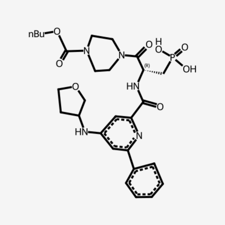 CCCCOC(=O)N1CCN(C(=O)[C@H](CP(=O)(O)O)NC(=O)c2cc(NC3CCOC3)cc(-c3ccccc3)n2)CC1